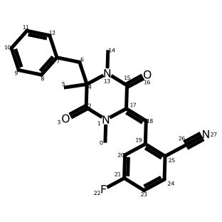 CN1C(=O)C(C)(Cc2ccccc2)N(C)C(=O)/C1=C/c1cc(F)ccc1C#N